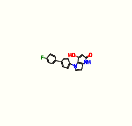 O=c1cc(O)c2c(ccn2-c2ccc(-c3ccc(F)cc3)cc2)[nH]1